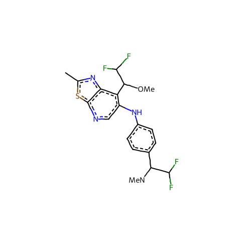 CNC(c1ccc(Nc2cnc3sc(C)nc3c2C(OC)C(F)F)cc1)C(F)F